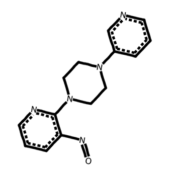 O=Nc1cccnc1N1CCN(c2cccnc2)CC1